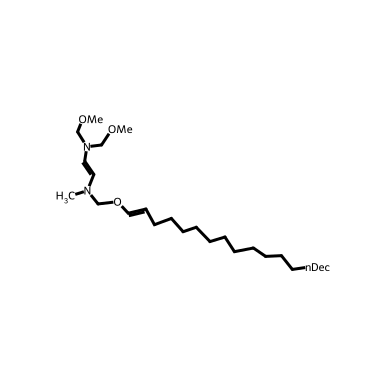 CCCCCCCCCCCCCCCCCCCCCC=COCN(C)C=CN(COC)COC